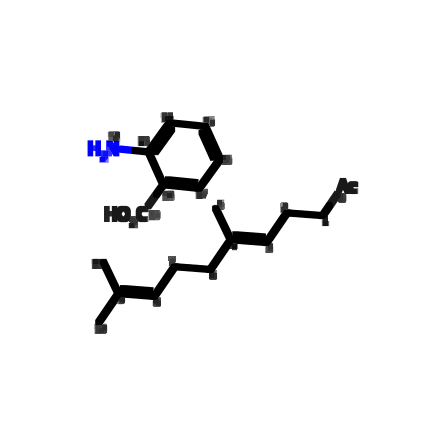 CC(=O)CC/C=C(\C)CCC=C(C)C.Nc1ccccc1C(=O)O